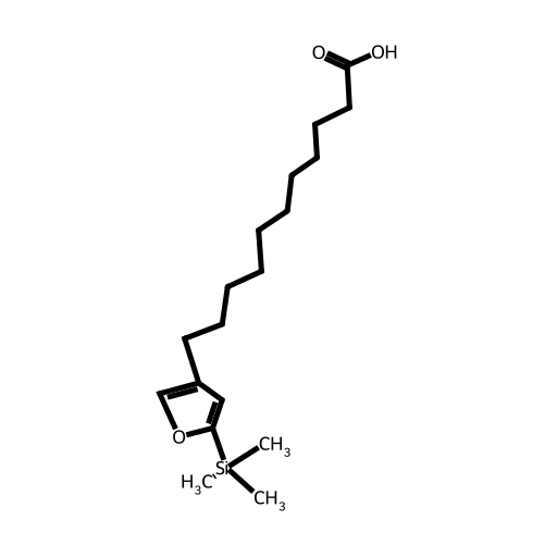 C[Si](C)(C)c1cc(CCCCCCCCCCC(=O)O)co1